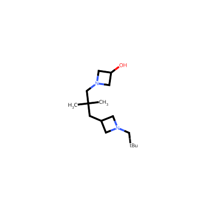 CC(C)(C)CN1CC(CC(C)(C)CN2CC(O)C2)C1